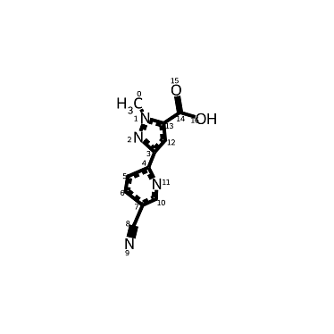 Cn1nc(-c2ccc(C#N)cn2)cc1C(=O)O